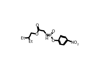 CCC(CC)COC(=O)CN[PH](=O)Oc1ccc([N+](=O)[O-])cc1